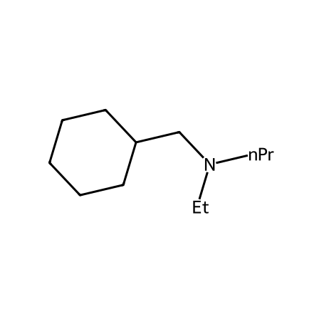 CCCN(CC)CC1CCCCC1